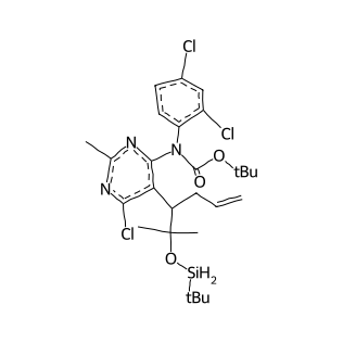 C=CCC(c1c(Cl)nc(C)nc1N(C(=O)OC(C)(C)C)c1ccc(Cl)cc1Cl)C(C)(C)O[SiH2]C(C)(C)C